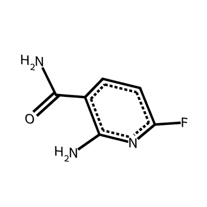 NC(=O)c1ccc(F)nc1N